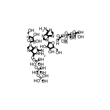 Nc1nc2c(ncn2[C@@H]2O[C@H](CO)[C@@H](O)[C@H]2O)c(=O)[nH]1.Nc1ncnc2c1ncn2[C@@H]1O[C@H](CO)[C@@H](O)[C@H]1O.O=P(O)(O)O.O=P(O)(O)O.O=P(O)(O)O.O=P(O)(O)O.O=P(O)(O)O.O=P(O)(O)O